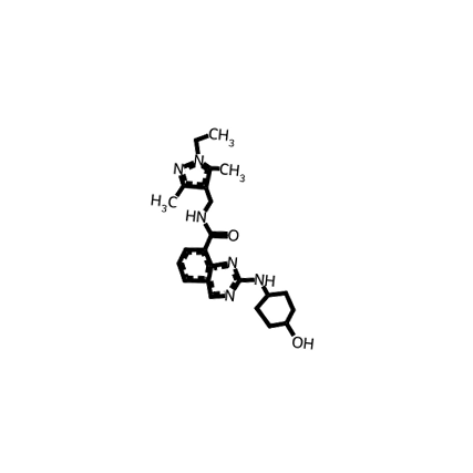 CCn1nc(C)c(CNC(=O)c2cccc3cnc(NC4CCC(O)CC4)nc23)c1C